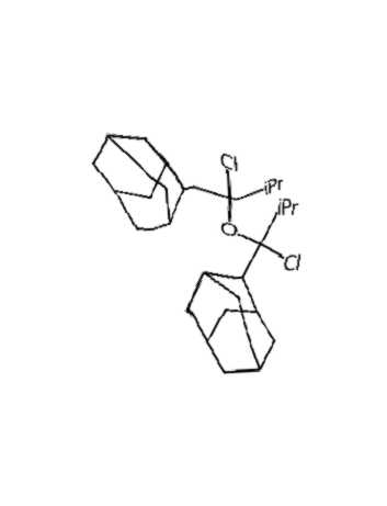 CC(C)C(Cl)(OC(Cl)(C(C)C)C1C2CC3CC(C2)CC1C3)C1C2CC3CC(C2)CC1C3